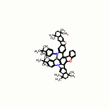 CC(C)(C)c1ccc(N2B3c4cc(C(C)(C)C)ccc4-n4c5cc6c(cc5c5c7oc8ccccc8c7c(c3c54)-c3cc4sc5cc7c(cc5c4cc32)C(C)(C)CCC7(C)C)C(C)(C)CCC6(C)C)cc1